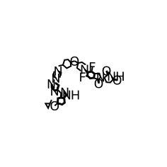 CC1(Oc2ccc3[nH]nc(-c4cc(N5CCN(CC6CCC(OC7CCN(c8c(F)cc9c(c8F)CN(C8CCC(=O)NC8=O)C9=O)CC7)CC6)CC5)ncn4)c3c2)CC1